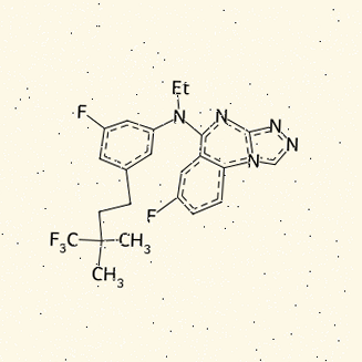 CCN(c1cc(F)cc(CCC(C)(C)C(F)(F)F)c1)c1nc2nncn2c2ccc(F)cc12